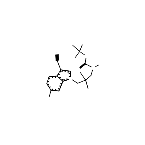 CN(CC(C)(C)Cn1cc(C#N)c2ccc(Br)cc21)C(=O)OC(C)(C)C